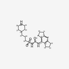 O=C(Nc1c2c(cc3c1CCC3)CCC2)NS(=O)(=O)CCCC1CCNCC1